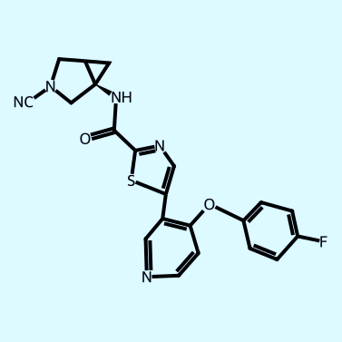 N#CN1CC2C[C@]2(NC(=O)c2ncc(-c3cnccc3Oc3ccc(F)cc3)s2)C1